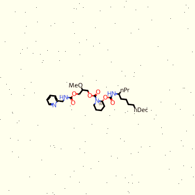 CCCCCCCCCCCCCCC(CCC)NC(=O)O[C@H]1CCCCN1C(=O)OCC(COC(=O)NCc1ccccn1)OC